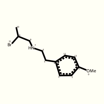 COc1ccc(CCNCC(C)Br)cc1